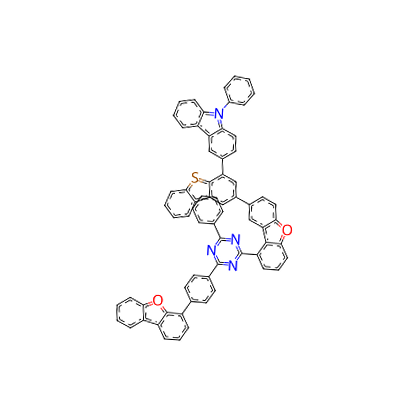 c1ccc(-c2nc(-c3ccc(-c4cccc5c4oc4ccccc45)cc3)nc(-c3cccc4oc5ccc(-c6cc(-c7ccc8c(c7)c7ccccc7n8-c7ccccc7)c7sc8ccccc8c7c6)cc5c34)n2)cc1